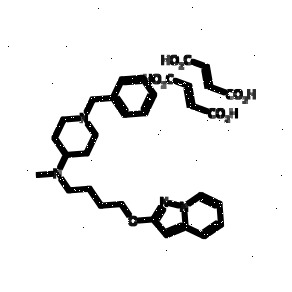 CN(CCCCOc1cc2ccccn2n1)C1CCN(Cc2ccccc2)CC1.O=C(O)/C=C/C(=O)O.O=C(O)/C=C/C(=O)O